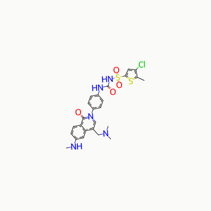 CNc1ccc2c(=O)n(-c3ccc(NC(=O)NS(=O)(=O)c4cc(Cl)c(C)s4)cc3)cc(CN(C)C)c2c1